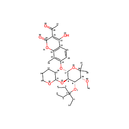 CC[Si](CC)(CC)O[C@@H]1[C@@H](OC2CCCCO2)[C@H](Oc2ccc3c(O)c(C(C)=O)c(=O)oc3c2C)OC(C)(C)[C@@H]1OC